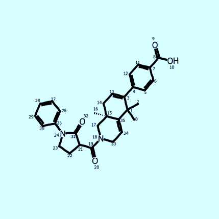 CC1(C)C(c2ccc(C(=O)O)cc2)=CC[C@]2(C)CN(C(=O)C3CCN(c4ccccc4)C3=O)CC=C12